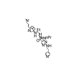 CCCNc1nc(NCCc2ccncc2)ncc1C(=O)NCCC(CC)NC(=O)CN(C)C(=O)/C=C/CN(C)C